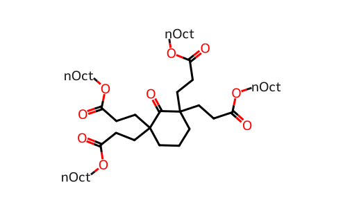 CCCCCCCCOC(=O)CCC1(CCC(=O)OCCCCCCCC)CCCC(CCC(=O)OCCCCCCCC)(CCC(=O)OCCCCCCCC)C1=O